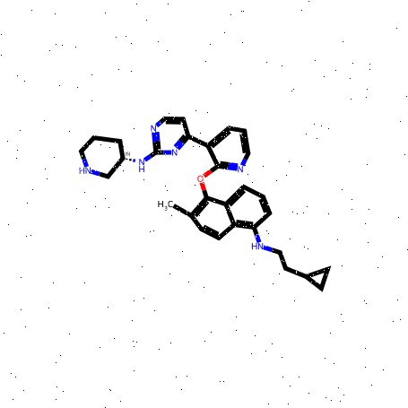 Cc1ccc2c(NCCC3CC3)cccc2c1Oc1ncccc1-c1ccnc(N[C@H]2CCCNC2)n1